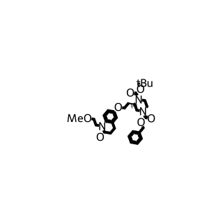 COCCN1C(=O)CCc2cc(OCC[C@@H]3CN(C(=O)OCc4ccccc4)CCN3C(=O)OC(C)(C)C)ccc21